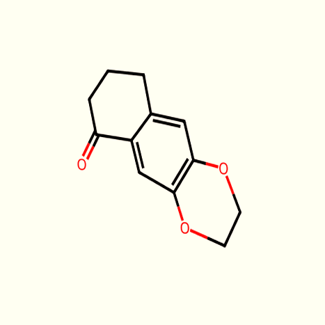 O=C1CCCc2cc3c(cc21)OCCO3